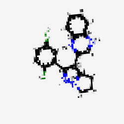 Fc1ccc(Cl)cc1-c1nn2c(c1-c1cnc3ccccc3n1)CCC2